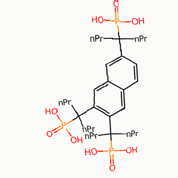 CCCC(CCC)(c1ccc2cc(C(CCC)(CCC)P(=O)(O)O)c(C(CCC)(CCC)P(=O)(O)O)cc2c1)P(=O)(O)O